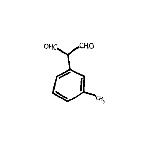 Cc1cccc(C(C=O)C=O)c1